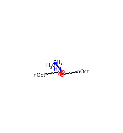 CCCCCCCCC=CCCCCCCCC(=O)OC(CNCCCN(C)C)C(=O)CCCCCCCC=CCCCCCCCC